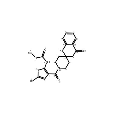 CC(C)(C)OC(=O)Nc1sc(Br)cc1C(=O)N1CCC2(CC1)CC(=O)c1ccccc1S2